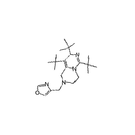 CC(C)(C)C1=NC(C(C)(C)C)C(C(C)(C)C)=C2CN(Cc3cocn3)CCN12